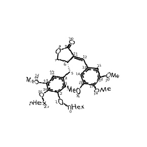 CCCCCCOc1cc(C[C@@H]2COC(=O)/C2=C/c2cc(OC)c(OC)c(OC)c2)cc(OC)c1OCCCCCC